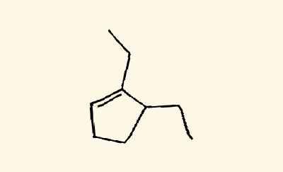 CCC1=CCCC1CC